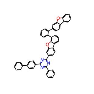 c1ccc(-c2ccc(-c3nc(-c4ccccc4)nc(-c4ccc5c(c4)oc4c(-c6ccccc6-c6ccc7c(c6)oc6ccccc67)cccc45)n3)cc2)cc1